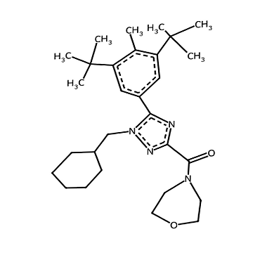 Cc1c(C(C)(C)C)cc(-c2nc(C(=O)N3CCOCC3)nn2CC2CCCCC2)cc1C(C)(C)C